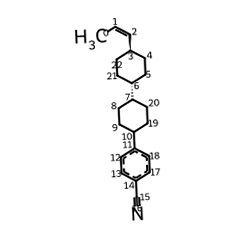 C/C=C\[C@H]1CC[C@H](C2CCC(c3ccc(C#N)cc3)CC2)CC1